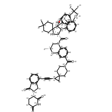 C[C@@H]1CN(C(=O)[C@@H]2NC3(CCC(C)(C)CC3)[C@@]3(CNc4cc(C(F)(F)F)ncc43)[C@H]2c2cccc(Cl)c2F)c2ccc(C(=O)N3CCC4(CC3)C[C@H]4C#Cc3cccc4c3CN([C@H]3CCC(=O)NC3=O)C4=O)cc2O1